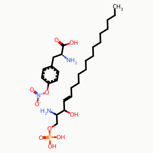 CCCCCCCCCCCCCC=CC(O)C(N)COP(=O)(O)O.N[C@@H](Cc1ccc(O[N+](=O)[O-])cc1)C(=O)O